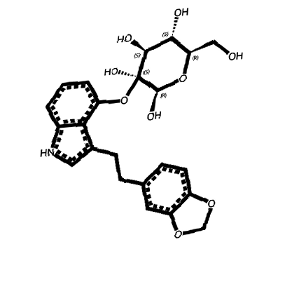 OC[C@H]1O[C@@H](O)[C@@](O)(Oc2cccc3[nH]cc(CCc4ccc5c(c4)OCO5)c23)[C@@H](O)[C@@H]1O